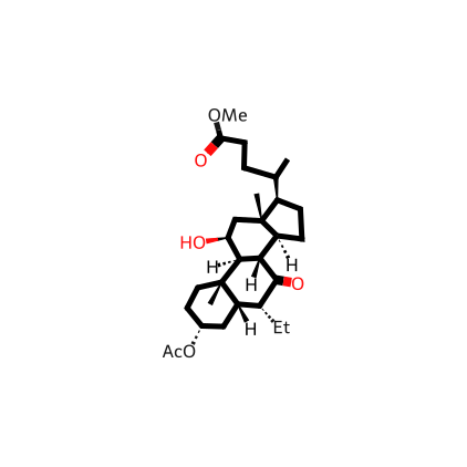 CC[C@H]1C(=O)[C@@H]2[C@H]([C@@H](O)C[C@]3(C)[C@@H](C(C)CCC(=O)OC)CC[C@@H]23)[C@@]2(C)CC[C@@H](OC(C)=O)C[C@@H]12